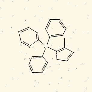 CC1=[C]([Ti]([c]2ccccc2)([c]2ccccc2)[c]2ccccc2)CC=C1